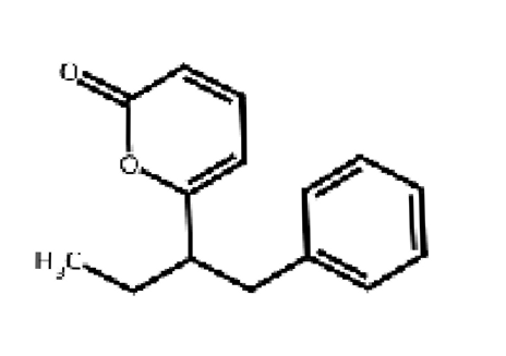 CCC(Cc1ccccc1)c1cccc(=O)o1